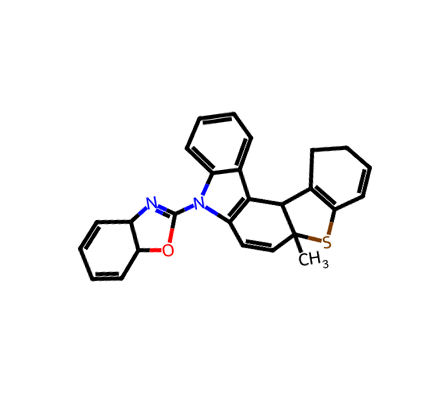 CC12C=Cc3c(c4ccccc4n3C3=NC4C=CC=CC4O3)C1C1=C(C=CCC1)S2